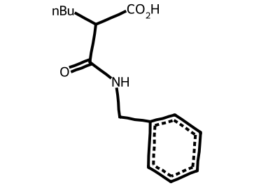 CCCCC(C(=O)O)C(=O)NCc1ccccc1